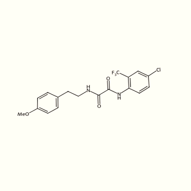 COc1ccc(CCNC(=O)C(=O)Nc2ccc(Cl)cc2C(F)(F)F)cc1